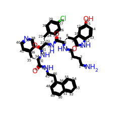 NCCCC(=O)N[C@@H](Cc1c[nH]c2ccc(O)cc12)C(=O)N[C@@H](Cc1ccc(Cl)cc1)C(=O)N[C@@H](Cc1ccncc1)C(=O)NCCc1cccc2ccccc12